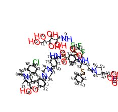 CNC[C@H](O)[C@@H](O)[C@H](O)[C@H](O)CO.Cc1c(C(=O)O)c(-c2cccc(N3CCN(c4ccc(NS(=O)(=O)c5ccc(N[C@H](CCN6CCC(COP(=O)(O)O)CC6)CSc6ccccc6)c(S(=O)(=O)C(F)(F)F)c5)cc4)CC3)c2)c(-c2ccc(Cl)cc2)n1C(C)C